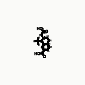 CC(C)(C)C1c2cc(C(=O)O)ccc2CCN1CC(=O)O